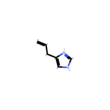 C=CCC1=C[N]C=N1